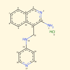 Cl.Nc1ncc2ccccc2c1CNc1ccncc1